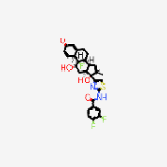 C[C@@H]1C[C@H]2[C@@H]3CCC4=CC(=O)C=C[C@]4(C)[C@@]3(F)[C@@H](O)C[C@]2(C)[C@@]1(O)c1csc(NC(=O)c2ccc(F)c(F)c2)n1